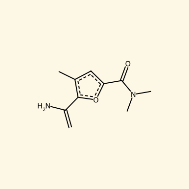 C=C(N)c1oc(C(=O)N(C)C)cc1C